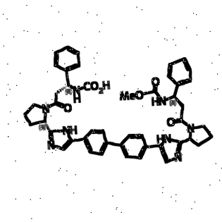 COC(=O)N[C@H](CC(=O)N1CCCC1c1ncc(-c2ccc(-c3ccc(-c4cnc([C@@H]5CCCN5C(=O)C[C@@H](NC(=O)O)c5ccccc5)[nH]4)cc3)cc2)[nH]1)c1ccccc1